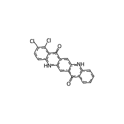 O=c1c2ccccc2[nH]c2cc3c(=O)c4c(Cl)c(Cl)ccc4[nH]c3cc12